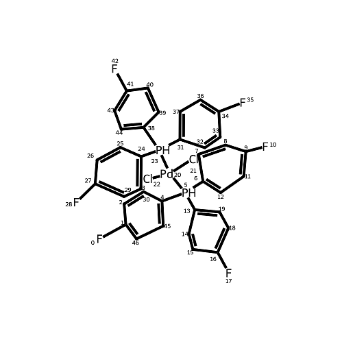 Fc1ccc([PH](c2ccc(F)cc2)(c2ccc(F)cc2)[Pd]([Cl])([Cl])[PH](c2ccc(F)cc2)(c2ccc(F)cc2)c2ccc(F)cc2)cc1